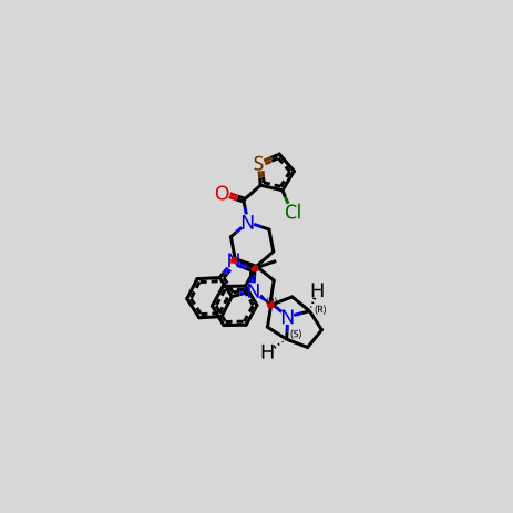 Cc1nc2ccccc2n1[C@H]1C[C@H]2CC[C@@H](C1)N2CCC1(c2ccccc2)CCN(C(=O)c2sccc2Cl)CC1